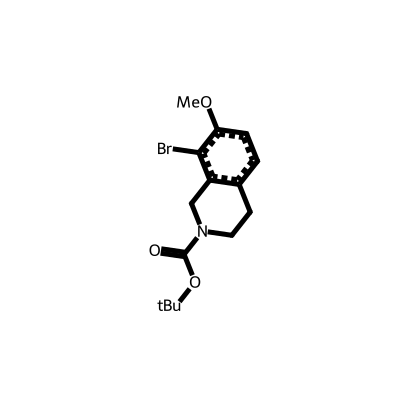 COc1ccc2c(c1Br)CN(C(=O)OC(C)(C)C)CC2